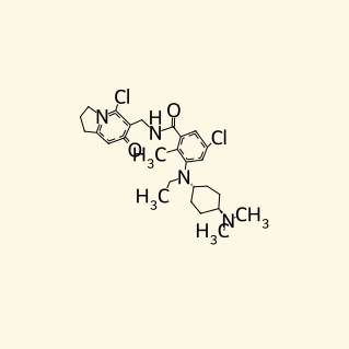 CCN(c1cc(Cl)cc(C(=O)NCc2c(Cl)n3c(cc2=O)CCC3)c1C)[C@H]1CC[C@H](N(C)C)CC1